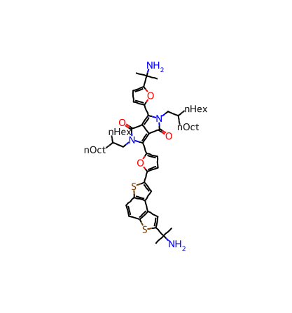 CCCCCCCCC(CCCCCC)CN1C(=O)C2=C(c3ccc(C(C)(C)N)o3)N(CC(CCCCCC)CCCCCCCC)C(=O)C2=C1c1ccc(-c2cc3c(ccc4sc(C(C)(C)N)cc43)s2)o1